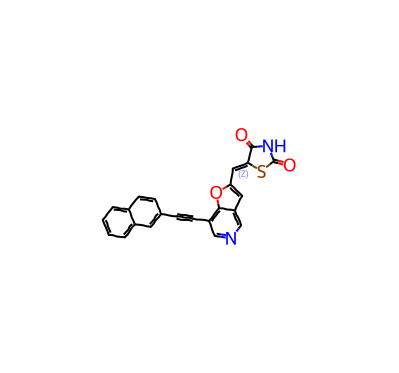 O=C1NC(=O)/C(=C/c2cc3cncc(C#Cc4ccc5ccccc5c4)c3o2)S1